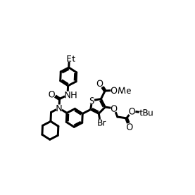 CCc1ccc(NC(=O)N(CC2CCCCC2)c2cccc(-c3sc(C(=O)OC)c(OCC(=O)OC(C)(C)C)c3Br)c2)cc1